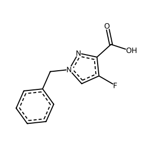 O=C(O)c1nn(Cc2ccccc2)cc1F